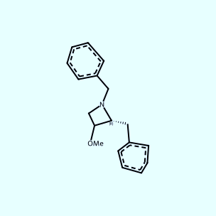 COC1CN(Cc2ccccc2)[C@@H]1Cc1ccccc1